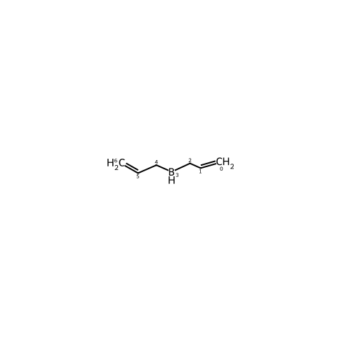 C=CCBCC=C